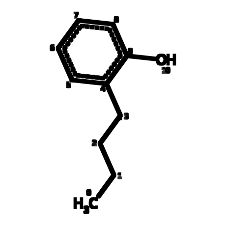 CCC[CH]c1ccccc1O